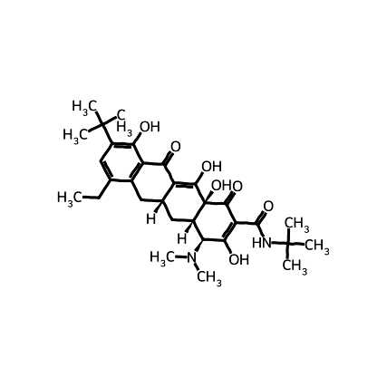 CCc1cc(C(C)(C)C)c(O)c2c1C[C@H]1C[C@H]3[C@H](N(C)C)C(O)=C(C(=O)NC(C)(C)C)C(=O)[C@@]3(O)C(O)=C1C2=O